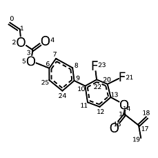 C=COC(=O)Oc1ccc(-c2ccc(OC(=O)C(=C)C)c(F)c2F)cc1